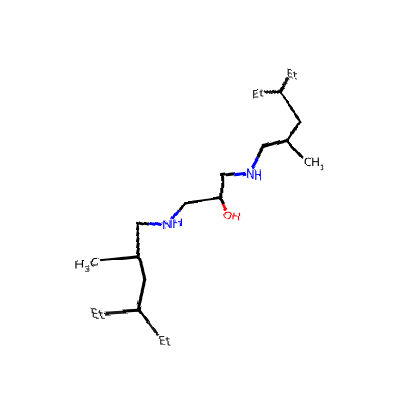 CCC(CC)CC(C)CNCC(O)CNCC(C)CC(CC)CC